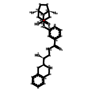 O=C(NC[C@@H](O)[C@@H]1Cc2ccccc2CN1)c1ccnc(O[C@H]2C[C@H]3CC[C@@H](C2)N3C(=O)O)c1